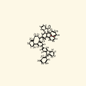 O=c1c2ccccc2c2cc(C3CCc4ccccc4-c4cc(-c5ccc6c(c5)c5ccccc5n6-c5ccccc5)ccc43)nc(-c3ccccc3)c2n1-c1ccccc1